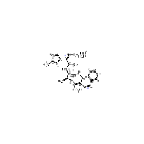 Cl.Cl.Nc1nc(/C(=N/O)C(=O)N[C@@H]2C(=O)N3C(C(=O)O)=C(/C=C\c4cccnc4)CS[C@H]23)cs1